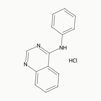 Cl.c1ccc(Nc2ncnc3ccccc23)cc1